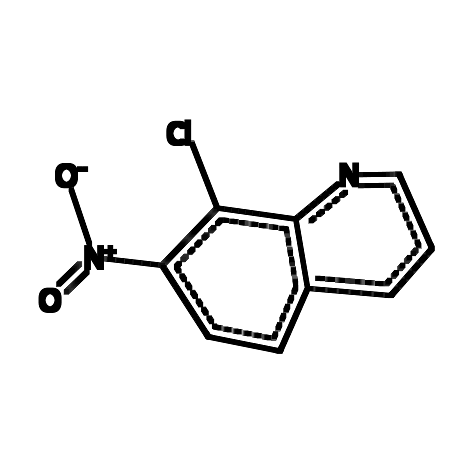 O=[N+]([O-])c1ccc2cccnc2c1Cl